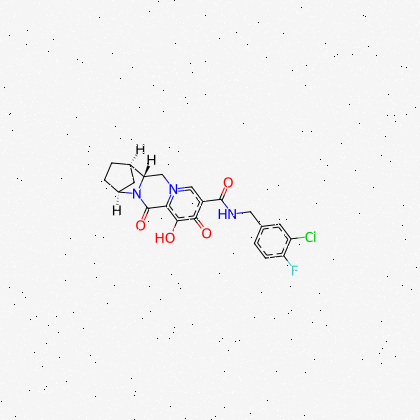 O=C(NCc1ccc(F)c(Cl)c1)c1cn2c(c(O)c1=O)C(=O)N1[C@H]3CC[C@H](C3)[C@@H]1C2